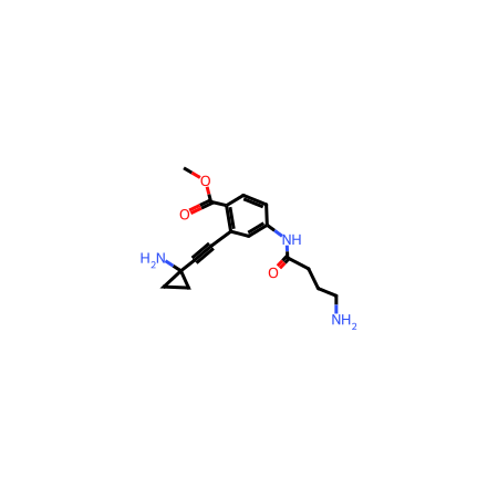 COC(=O)c1ccc(NC(=O)CCCN)cc1C#CC1(N)CC1